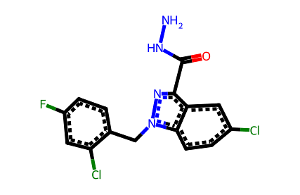 NNC(=O)c1nn(Cc2ccc(F)cc2Cl)c2ccc(Cl)cc12